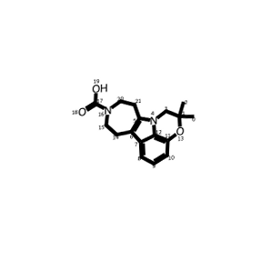 CC1(C)Cn2c3c(c4cccc(c42)O1)CCN(C(=O)O)CC3